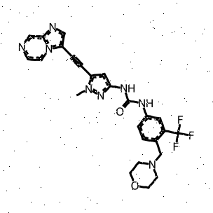 Cn1nc(NC(=O)Nc2ccc(CN3CCOCC3)c(C(F)(F)F)c2)cc1C#Cc1cnc2cnccn12